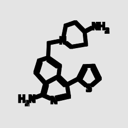 Nc1ncc(-c2cccs2)c2cc(CN3CCC(N)CC3)ccc12